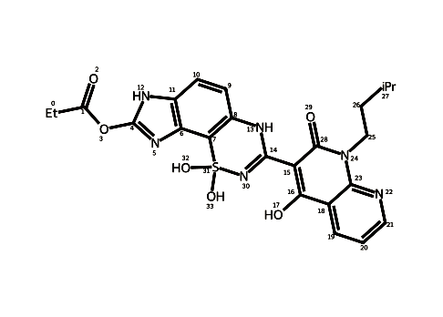 CCC(=O)Oc1nc2c3c(ccc2[nH]1)NC(c1c(O)c2cccnc2n(CCC(C)C)c1=O)=NS3(O)O